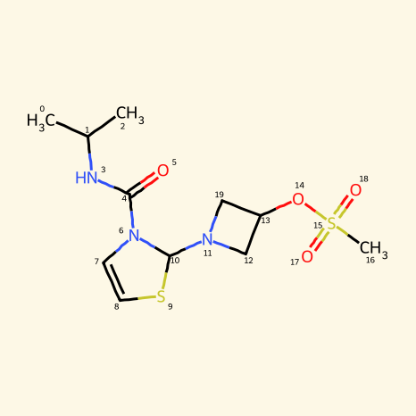 CC(C)NC(=O)N1C=CSC1N1CC(OS(C)(=O)=O)C1